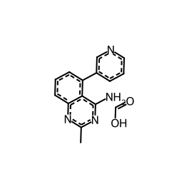 Cc1nc(N)c2c(-c3cccnc3)cccc2n1.O=CO